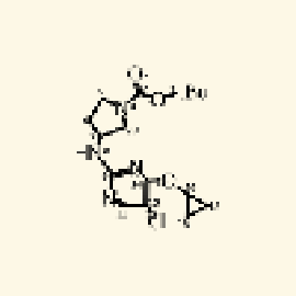 CC(C)(C)OC(=O)N1CC[C@H](Nc2ncc(Cl)c(OC3CC3)n2)C1